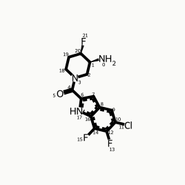 N[C@H]1CN(C(=O)c2cc3cc(Cl)c(F)c(F)c3[nH]2)CC[C@H]1F